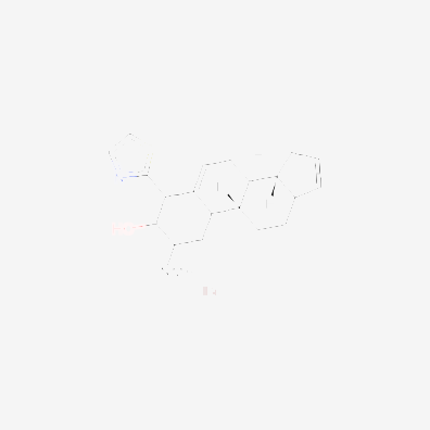 Br.CNC1C[C@@]2(C)C(=CC[C@H]3[C@@H]4CC=C[C@@]4(C)CC[C@@H]32)C(c2nccs2)C1O